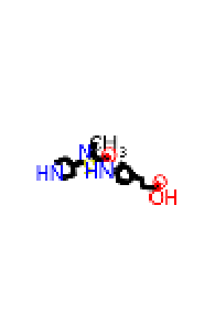 Cc1nc(C2CCNCC2)sc1C(=O)Nc1ccc(CCC(=O)O)cc1